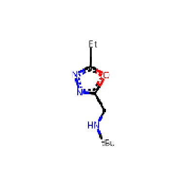 CCc1nnc(CNC(C)(C)C)o1